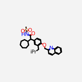 CC(C)Cc1cc(C(C(=O)NS(C)(=O)=O)C2CCCCCC2)ccc1OCc1ccc2ccccc2n1